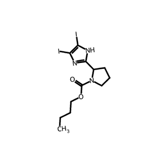 CCCCOC(=O)N1CCCC1c1nc(I)c(I)[nH]1